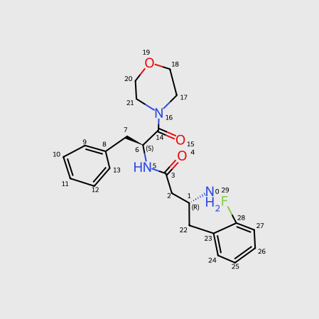 N[C@@H](CC(=O)N[C@@H](Cc1ccccc1)C(=O)N1CCOCC1)Cc1ccccc1F